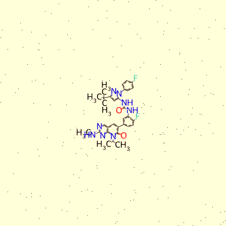 CNc1ncc2cc(-c3ccc(F)c(NC(=O)Nc4cc(C(C)(C)C)nn4-c4ccc(F)cc4)c3)c(=O)n(C(C)C)c2n1